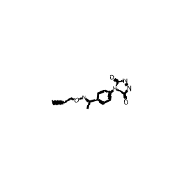 C#CCO/N=C(\C)c1ccc(N2C(=O)N=NC2=O)cc1